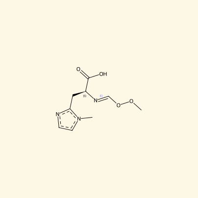 COO/C=N/[C@@H](Cc1nccn1C)C(=O)O